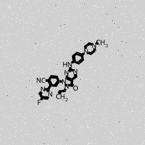 C=CCn1c(=O)c2cnc(Nc3ccc(N4CCN(C)CC4)cc3)nc2n1-c1ccc(C#N)c(-c2ncc(F)cn2)c1